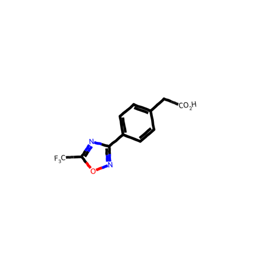 O=C(O)Cc1ccc(-c2noc(C(F)(F)F)n2)cc1